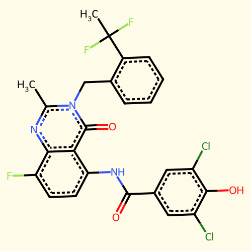 Cc1nc2c(F)ccc(NC(=O)c3cc(Cl)c(O)c(Cl)c3)c2c(=O)n1Cc1ccccc1C(C)(F)F